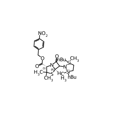 CCCC[Si]1(C)CC[Si](C)(CCCC)N1C1C(=O)N2[C@@H]1SC(C)(C)[C@@H]2C(=O)OCc1ccc([N+](=O)[O-])cc1